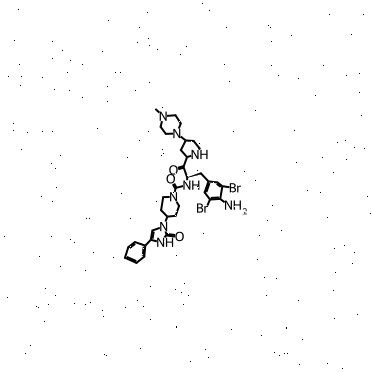 CN1CCN(C2CCNC(C(=O)[C@@H](Cc3cc(Br)c(N)c(Br)c3)NC(=O)N3CCC(n4cc(-c5ccccc5)[nH]c4=O)CC3)C2)CC1